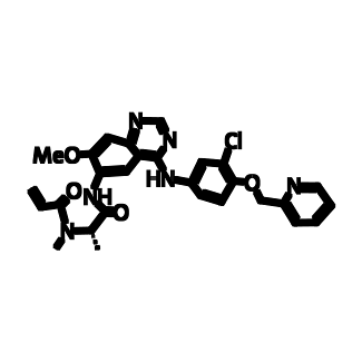 C=CC(=O)N(C)[C@@H](C)C(=O)Nc1cc2c(Nc3ccc(OCc4ccccn4)c(Cl)c3)ncnc2cc1OC